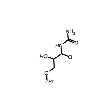 CCCOCC(O)C(Cl)NC(N)=O